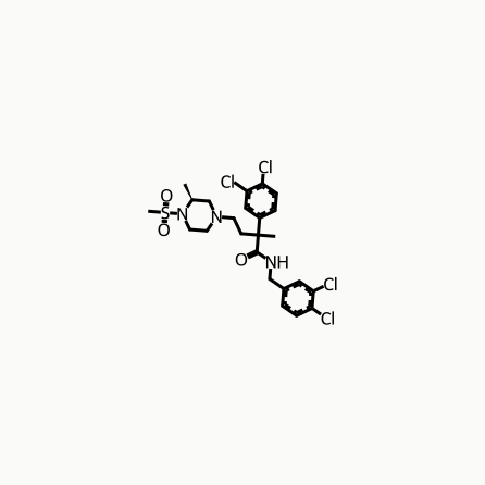 C[C@H]1CN(CCC(C)(C(=O)NCc2ccc(Cl)c(Cl)c2)c2ccc(Cl)c(Cl)c2)CCN1S(C)(=O)=O